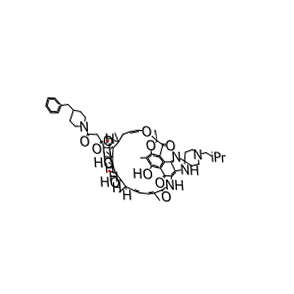 C/C1=C/C=C/[C@H](C)[C@H](O)[C@@H](C)[C@@H](O)[C@@H](C)[C@H](OC(=O)CC(=O)N2CCC(Cc3ccccc3)CC2)[C@H](C)C/C=C/O[C@@]2(C)Oc3c(C)c(O)c4c(c3C2=O)C2=NC3(CCN(CC(C)C)CC3)NC2=C(NC1=O)C4=O